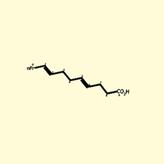 CCCC=CCCC=CCCC(=O)O